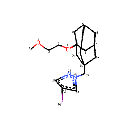 COCCOC12CC3CC(CC(Cn4cc(I)cn4)(C3)C1)C2